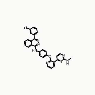 CNc1nccc(-c2cccnc2Oc2ccc(Nc3nnc(-c4cccc(Cl)c4)c4ccccc34)cc2)n1